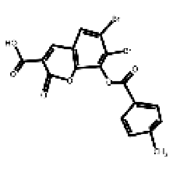 Cc1ccc(C(=O)Oc2c(Br)c(Br)cc3cc(C(=O)O)c(=O)oc23)cc1